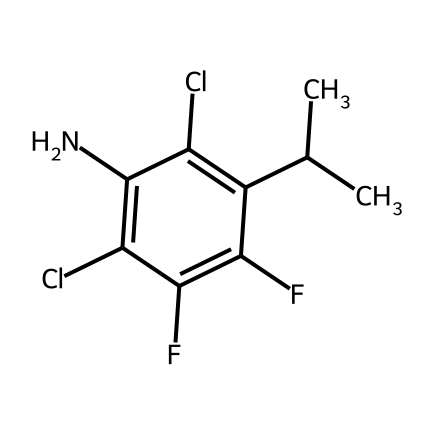 CC(C)c1c(F)c(F)c(Cl)c(N)c1Cl